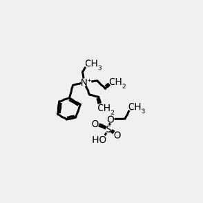 C=CC[N+](CC)(CC=C)Cc1ccccc1.CCOS(=O)(=O)O